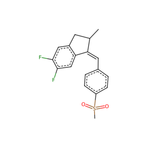 CC1Cc2cc(F)c(F)cc2C1=Cc1ccc(S(C)(=O)=O)cc1